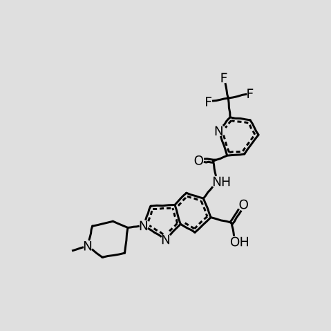 CN1CCC(n2cc3cc(NC(=O)c4cccc(C(F)(F)F)n4)c(C(=O)O)cc3n2)CC1